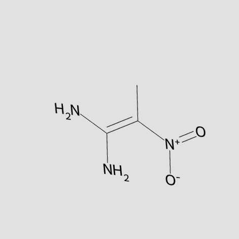 CC(=C(N)N)[N+](=O)[O-]